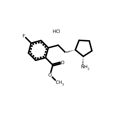 COC(=O)c1ccc(F)cc1CC[C@@H]1CCC[C@@H]1N.Cl